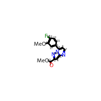 COC(=O)c1cc2nccc(-c3ccc(F)c(OC)c3)n2n1